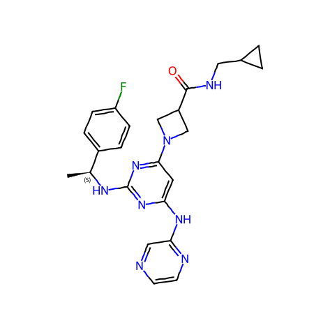 C[C@H](Nc1nc(Nc2cnccn2)cc(N2CC(C(=O)NCC3CC3)C2)n1)c1ccc(F)cc1